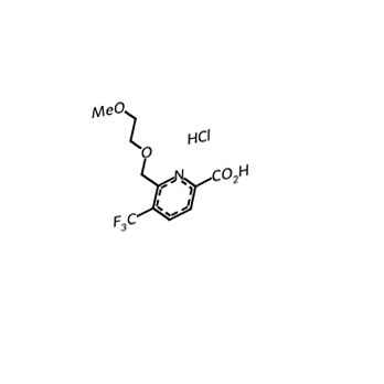 COCCOCc1nc(C(=O)O)ccc1C(F)(F)F.Cl